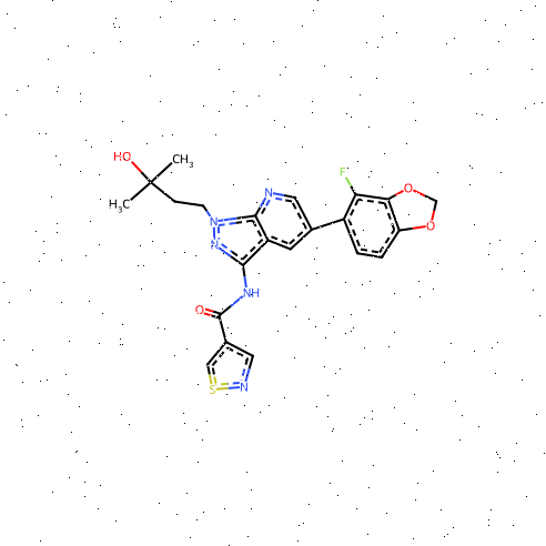 CC(C)(O)CCn1nc(NC(=O)c2cnsc2)c2cc(-c3ccc4c(c3F)OCO4)cnc21